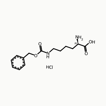 Cl.N[C@H](CCCCNC(=O)OCc1ccccc1)C(=O)O